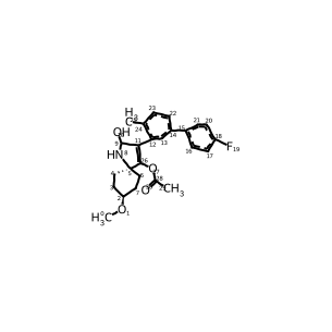 CO[C@H]1CC[C@]2(CC1)NC(O)C(c1cc(-c3ccc(F)cc3)ccc1C)=C2OC(C)=O